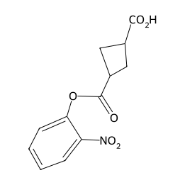 O=C(O)C1CC(C(=O)Oc2ccccc2[N+](=O)[O-])C1